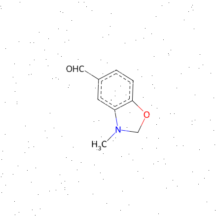 CN1COc2ccc(C=O)cc21